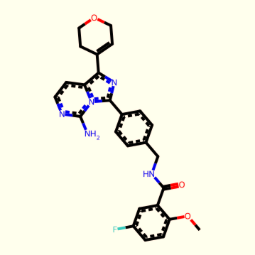 COc1ccc(F)cc1C(=O)NCc1ccc(-c2nc(C3=CCOCC3)c3ccnc(N)n23)cc1